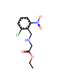 CCOC(=O)CNCc1c(Cl)cccc1[N+](=O)[O-]